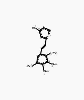 COc1cc(C=Cc2cccc(O)c2)c(OC)c(OC)c1OC